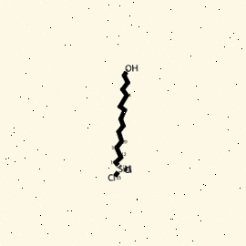 OCCCCCCCCCCCCC[SiH](Cl)Cl